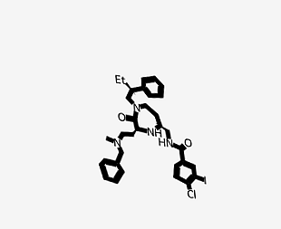 CC[C@H](CN1CC[C@@H](CNC(=O)c2ccc(Cl)c(I)c2)N[C@@H](CCN(C)Cc2ccccc2)C1=O)c1ccccc1